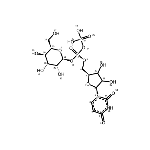 O=c1ccn([C@H]2O[C@@H](COP(=O)(O[C@@H]3O[C@H](CO)[C@H](O)[C@@H](O)[C@H]3O)OP(=O)(O)O)C(O)C2O)c(=O)[nH]1